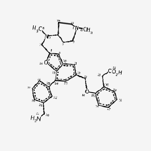 CN1CCC(N(C)Cc2cc3cc(COc4ccccc4CC(=O)O)cc(-c4cccc(CN)c4)c3o2)CC1